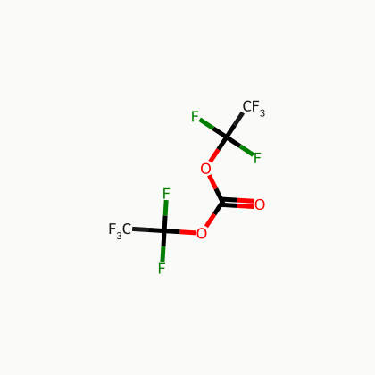 O=C(OC(F)(F)C(F)(F)F)OC(F)(F)C(F)(F)F